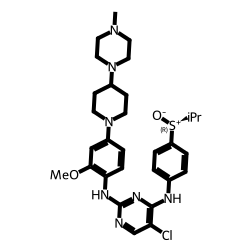 COc1cc(N2CCC(N3CCN(C)CC3)CC2)ccc1Nc1ncc(Cl)c(Nc2ccc([S@@+]([O-])C(C)C)cc2)n1